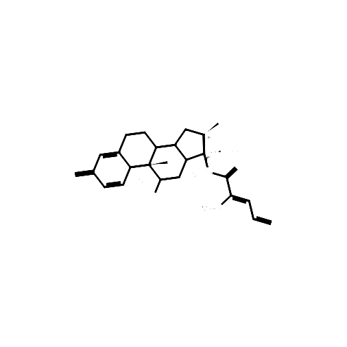 C=C/C=C(\OC)C(=O)O[C@]1(C=O)[C@H](C)CC2C3CCC4=CC(=C)C=C[C@]4(C)[C@@]3(C)C(O)C[C@@]21C